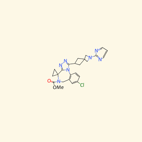 COC(=O)N1Cc2cc(Cl)ccc2-n2c(C3CC4(C3)CN(c3ncccn3)C4)nnc2C12CC2